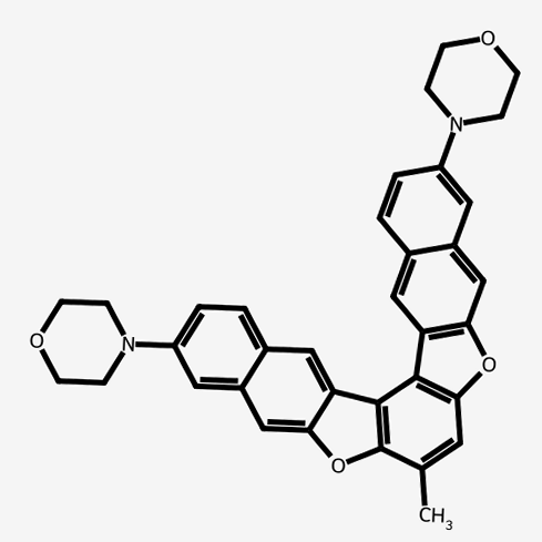 Cc1cc2oc3cc4cc(N5CCOCC5)ccc4cc3c2c2c1oc1cc3cc(N4CCOCC4)ccc3cc12